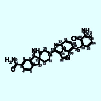 NC(=O)c1ccc2c(c1)C(N)C1(CCN(c3nc4ccc(Sc5ccnc(N)c5Cl)c5ncc3n45)CC1)C2